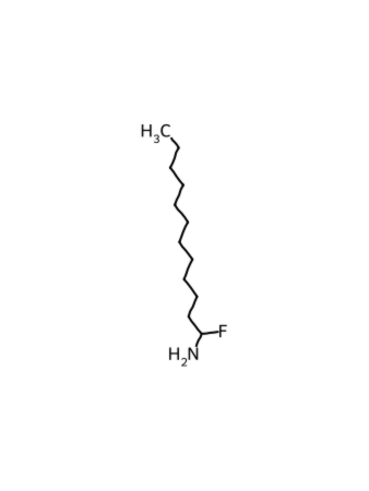 CCCCCCCCCCCC(N)F